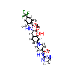 CCc1cc(C(F)(F)F)cc(C)c1C(=O)NC(Cc1ccc(N2CCC(C(=O)NC3=NCCCN3)CC2)cc1)C(=O)O